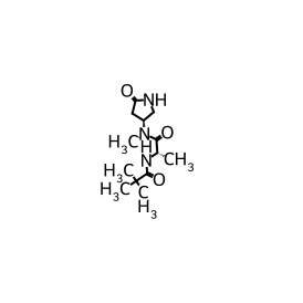 C[C@H](NC(=O)C(C)(C)C)C(=O)N(C)[C@@H]1CNC(=O)C1